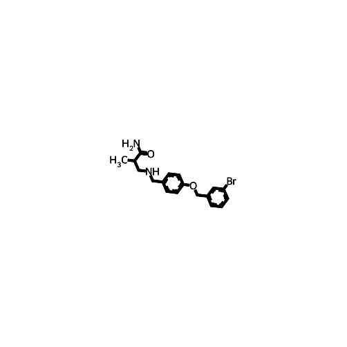 CC(CNCc1ccc(OCc2cccc(Br)c2)cc1)C(N)=O